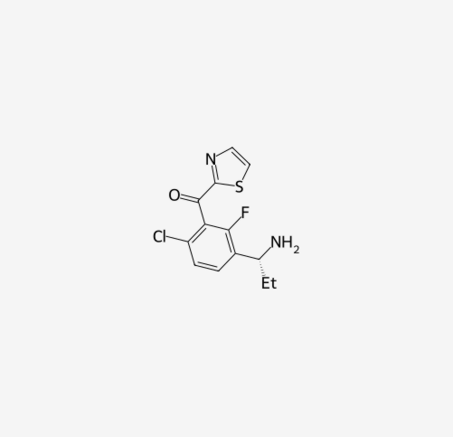 CC[C@@H](N)c1ccc(Cl)c(C(=O)c2nccs2)c1F